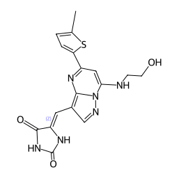 Cc1ccc(-c2cc(NCCO)n3ncc(/C=C4\NC(=O)NC4=O)c3n2)s1